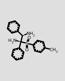 Cc1ccc(S(=O)(=O)[C@](N)(c2ccccc2)[C@H](N)c2ccccc2)cc1